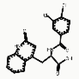 O=C(NC(Cc1cc(=O)[nH]c2ccccc12)C(=O)O)c1ccc(Cl)c(Cl)c1